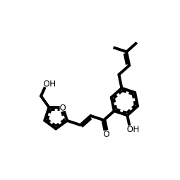 CC(C)=CCc1ccc(O)c(C(=O)/C=C/c2ccc(CO)o2)c1